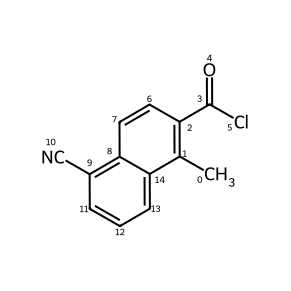 Cc1c(C(=O)Cl)ccc2c(C#N)cccc12